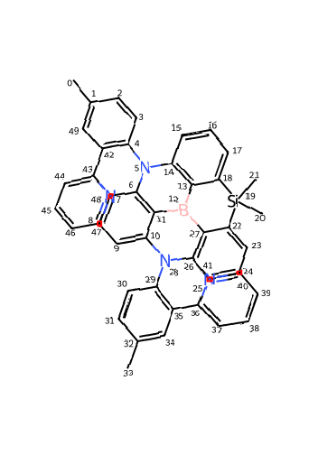 Cc1ccc(N2c3cccc4c3B3c5c2cccc5[Si](C)(C)c2cccc(c23)N4c2ccc(C)cc2-c2ccccn2)c(-c2ccccn2)c1